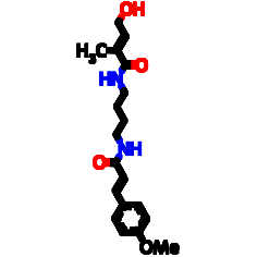 COc1ccc(/C=C/C(=O)NCCCCNC(=O)/C(C)=C/CO)cc1